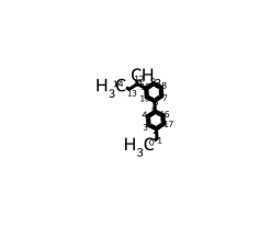 CCc1ccc(-c2cccc(C(C)CC)c2)cc1